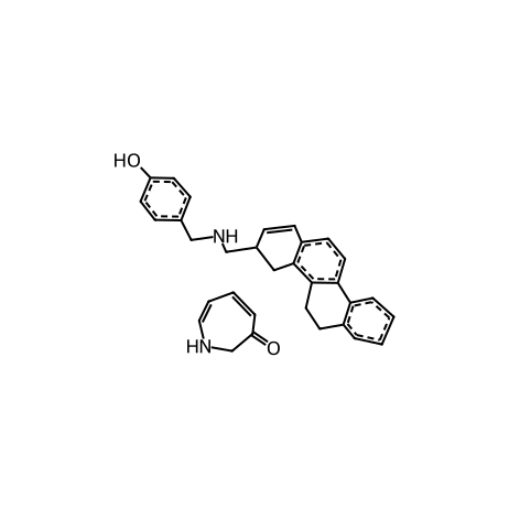 O=C1C=CC=CNC1.Oc1ccc(CNCC2C=Cc3ccc4c(c3C2)CCc2ccccc2-4)cc1